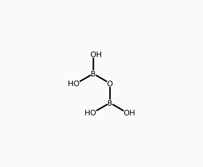 OB(O)OB(O)O